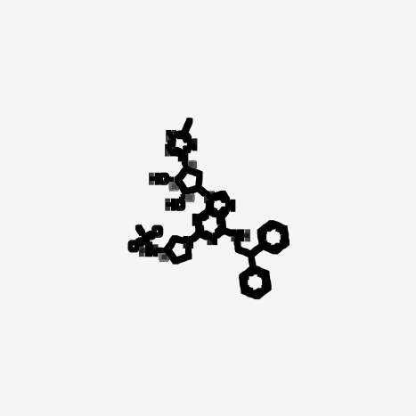 Cc1nnn([C@H]2CC(n3cnc4c(NCC(c5ccccc5)c5ccccc5)nc(N5CC[C@@H](NS(C)(=O)=O)C5)nc43)[C@H](O)[C@@H]2O)n1